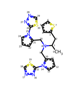 CC(Cc1cccs1)N(Cc1cccn1-c1nncs1)Cc1cccn1-c1nncs1